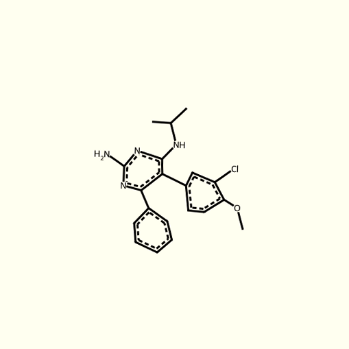 COc1ccc(-c2c(NC(C)C)nc(N)nc2-c2ccccc2)cc1Cl